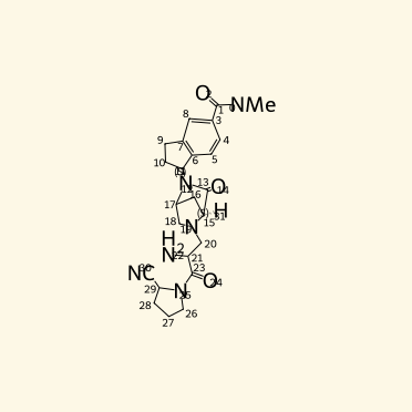 CNC(=O)c1ccc2c(c1)CC[C@@H]2N1C(=O)[C@@H]2CC1CN2CC(N)C(=O)N1CCCC1C#N